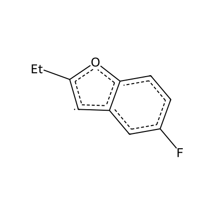 CCc1[c]c2cc(F)ccc2o1